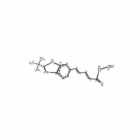 CC(C)(C)C1Oc2ccc(/C=C/C=CC(=O)OO)cc2O1